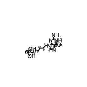 Nc1nc2c(ncn2CCCCOCP(=O)(O)O)c(=O)[nH]1